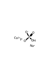 O=P([O-])([O-])O.[Co+2].[F-].[Na+]